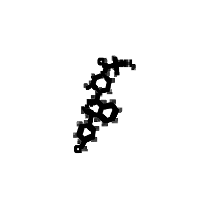 C[C@H]1CN(C(=O)C(C)(C)N)CCN1c1nnc(-c2ccc(Cl)cc2)c2ccccc12